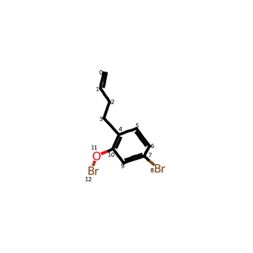 C=CCCc1ccc(Br)cc1OBr